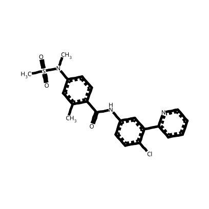 Cc1cc(N(C)S(C)(=O)=O)ccc1C(=O)Nc1ccc(Cl)c(-c2ccccn2)c1